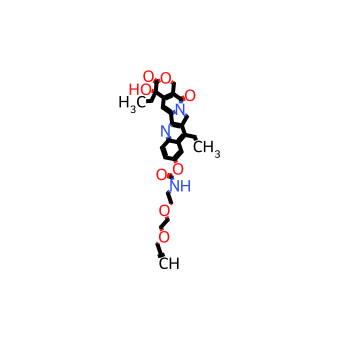 C#CCOCCOCCNC(=O)Oc1ccc2nc3c(c(CC)c2c1)Cn1c-3cc2c(c1=O)COC(=O)C2(O)CC